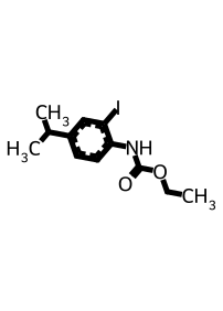 CCOC(=O)Nc1ccc(C(C)C)cc1I